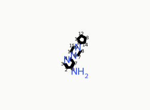 Nc1ccnc(N2CCN(C3CCCC3)CC2)c1